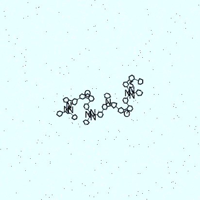 c1ccc(-c2cc(-c3ccccc3)nc(-n3c4ccccc4c4cc(-c5ccc6oc7cccc(-c8cccc(-c9nc(-c%10ccccc%10)nc(-c%10cccc(-c%11ccc%12c(c%11)c%11cc(-c%13ccc%14oc%15cccc(-c%16cccc(-c%17nc(-c%18ccccc%18)nc(-c%18cccc%19c%18sc%18c(-c%20ccccc%20)cccc%18%19)n%17)c%16)c%15c%14c%13)ccc%11n%12-c%11ccccc%11)c%10)n9)c8)c7c6c5)ccc43)n2)cc1